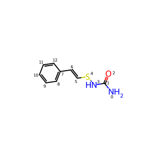 NC(=O)NSC=Cc1ccccc1